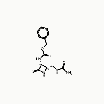 NC(=O)NC[C@@H]1NC(=O)[C@@H]1NC(=O)OCc1ccccc1